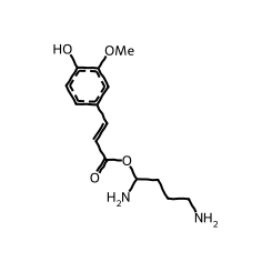 COc1cc(C=CC(=O)OC(N)CCCN)ccc1O